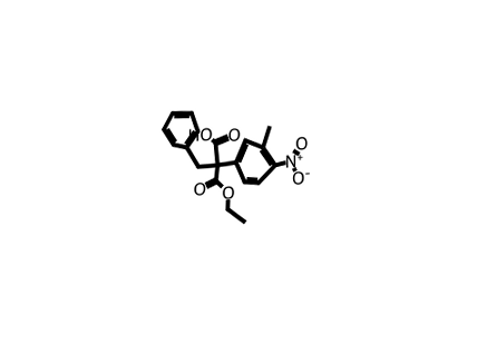 CCOC(=O)C(Cc1ccccc1)(C(=O)O)c1ccc([N+](=O)[O-])c(C)c1